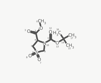 COC(=O)C1CS(=O)(=O)CN1C(=O)OC(C)(C)C